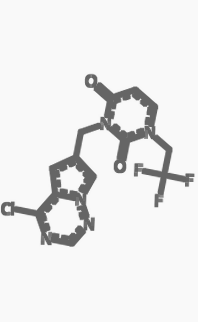 O=c1ccn(CC(F)(F)F)c(=O)n1Cc1cc2c(Cl)ncnn2c1